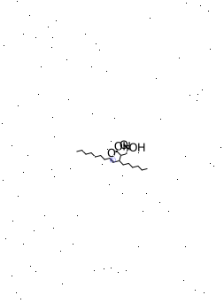 CCCCCCC/C=C/C(CCCCCC)C(CC(=O)O)C(=O)O